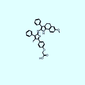 COc1ccc2c(c1)CCc1c-2[nH]c(/N=C2\N=C(c3ccc(OCC(=O)O)cc3)C(I)=C2c2ccccc2)c1-c1ccccc1